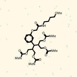 CNC(=O)OCC(COC(=O)NC)C(c1cccc(OCC(=O)NCCCCOC)c1)C(COC(=O)NC)COC(=O)NC